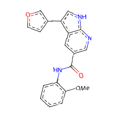 COc1ccccc1NC(=O)c1cnc2[nH]cc(-c3ccoc3)c2c1